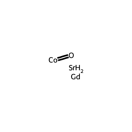 [Gd].[O]=[Co].[SrH2]